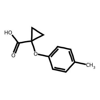 Cc1ccc(OC2(C(=O)O)CC2)cc1